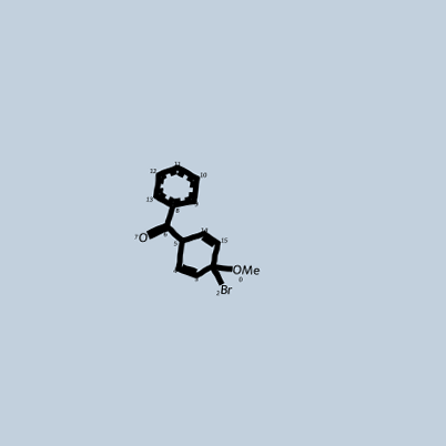 COC1(Br)C=CC(C(=O)c2ccccc2)C=C1